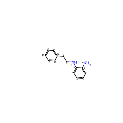 Nc1cc[c]cc1NCCc1ccccc1